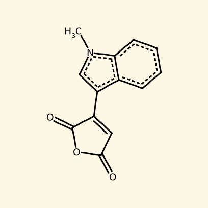 Cn1cc(C2=CC(=O)OC2=O)c2ccccc21